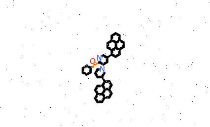 O=P(c1ccccc1)(c1ccc(-c2ccc3ccc4cccc5ccc2c3c45)cn1)c1ccc(-c2ccc3ccc4cccc5ccc2c3c45)cn1